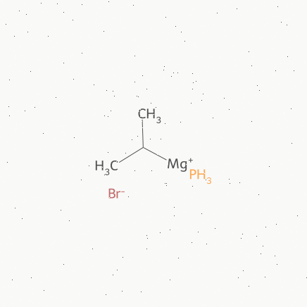 C[CH](C)[Mg+].P.[Br-]